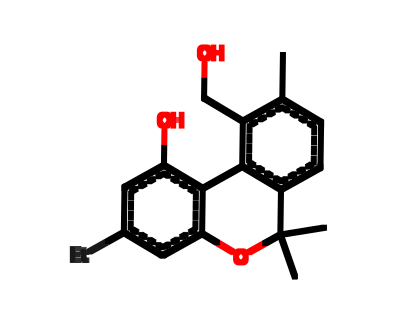 CCc1cc(O)c2c(c1)OC(C)(C)c1ccc(C)c(CO)c1-2